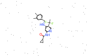 Cc1ccc(CNc2cc(NC(=O)C3CC3)ncc2C(C)(F)F)cc1C